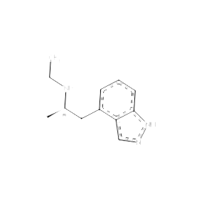 C[C@H](Cc1cccc2[nH]ncc12)NCC(F)(F)F